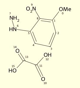 COc1cccc(NN)c1[N+](=O)[O-].O=C(O)C(=O)O